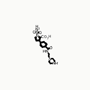 NS(=O)(=O)n1ccc(-c2ccc(C(=O)NCCN3CCNCC3)cc2)c1C(=O)O